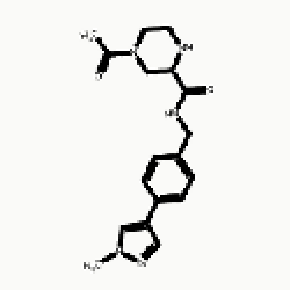 CC(=O)N1CCNC(C(=O)NCc2ccc(-c3cnn(C)c3)cc2)C1